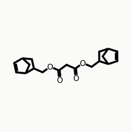 O=C(CC(=O)OCC1CC2C=CC1C2)OCC1CC2C=CC1C2